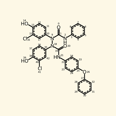 O=C(Nc1ccccc1)N(c1ccc(O)c(Cl)c1)N(C(=O)Nc1ccc(Oc2ccccc2)cc1)c1ccc(O)c(Cl)c1